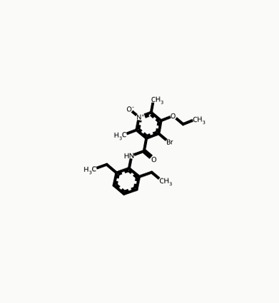 CCOc1c(Br)c(C(=O)Nc2c(CC)cccc2CC)c(C)[n+]([O-])c1C